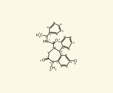 CC(NC(=O)N1CC(=O)N(C)c2ccc(Cl)cc2C1c1ccccc1)c1ccccc1